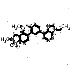 CCn1cnc2c(-c3ccc(F)c(-c4ccc5c(c4OC)CN(C)S5(=O)=O)c3)cnnc21